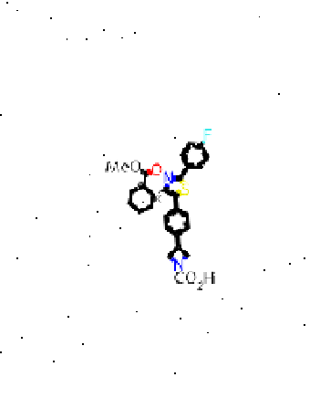 COC(=O)[C@@H]1CCCC[C@H]1c1nc(-c2ccc(F)cc2)sc1-c1ccc(C2CN(C(=O)O)C2)cc1